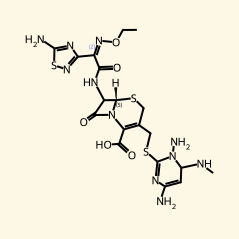 CCO/N=C(\C(=O)NC1C(=O)N2C(C(=O)O)=C(CSC3=NC(N)=CC(NC)N3N)CS[C@@H]12)c1nsc(N)n1